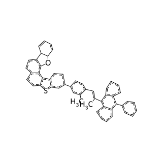 C/C(=C\c1ccc(-c2ccc3c(c2)sc2ccc4ccc5c(c4c23)OC2C=CC=CC52)cc1C)c1c2ccccc2c(-c2ccccc2)c2ccccc12